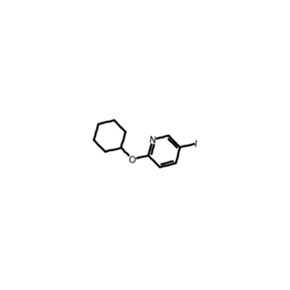 Ic1ccc(OC2CCCCC2)nc1